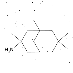 CC1(C)CC2CC(C)(N)CC(C)(C2)C1